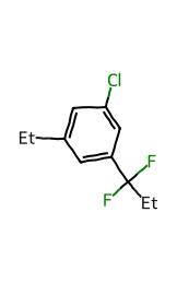 CCc1cc(Cl)cc(C(F)(F)CC)c1